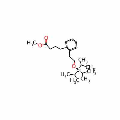 COC(=O)CCCc1ccccc1CCO[Si](C(C)C)(C(C)C)C(C)C